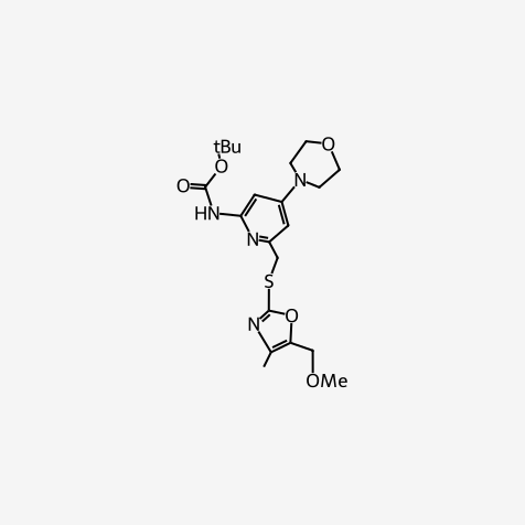 COCc1oc(SCc2cc(N3CCOCC3)cc(NC(=O)OC(C)(C)C)n2)nc1C